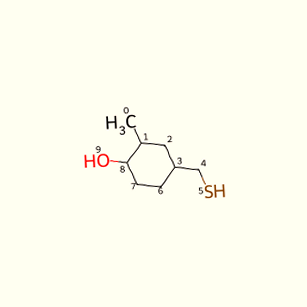 CC1CC(CS)CCC1O